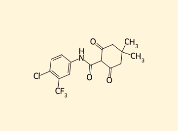 CC1(C)CC(=O)C(C(=O)Nc2ccc(Cl)c(C(F)(F)F)c2)C(=O)C1